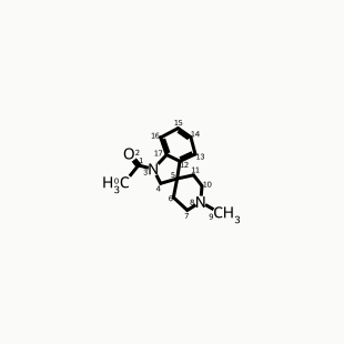 CC(=O)N1CC2(CCN(C)CC2)c2ccccc21